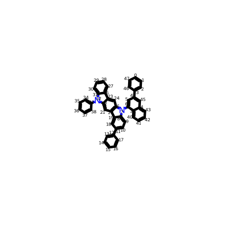 c1ccc(-c2cc(-n3c4ccc(-c5ccccc5)cc4c4cc5c(cc43)c3ccccc3n5-c3ccccc3)c3ccccc3c2)cc1